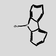 CC(C)(C)p1c2ccccc2c2ccccc21